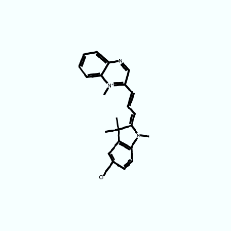 CN1C(=CC=Cc2cnc3ccccc3[n+]2C)C(C)(C)c2cc(Cl)ccc21